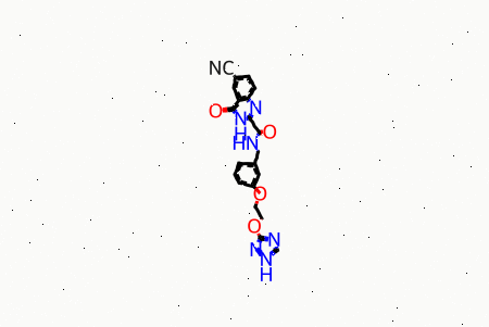 N#Cc1ccc2nc(C(=O)NCc3cccc(OCCOc4nc[nH]n4)c3)[nH]c(=O)c2c1